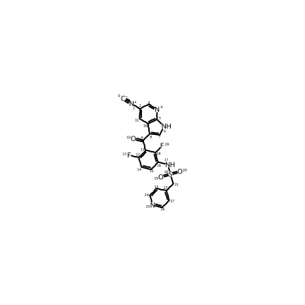 [C-]#[N+]c1cnc2[nH]cc(C(=O)c3c(F)ccc(NS(=O)(=O)Cc4ccncc4)c3F)c2c1